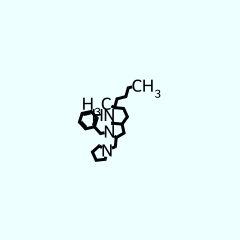 CCCCC1(C)CCC2CC(CN3CCCC3)N(Cc3ccccc3)C2N1